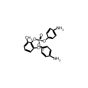 Cc1cccc(C)c1OP(=O)(Oc1ccc(N)cc1)Oc1ccc(N)cc1